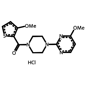 COc1ccnc(N2CCN(C(=O)c3sccc3OC)CC2)n1.Cl